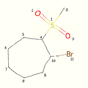 CS(=O)(=O)C1CCCCCC1Br